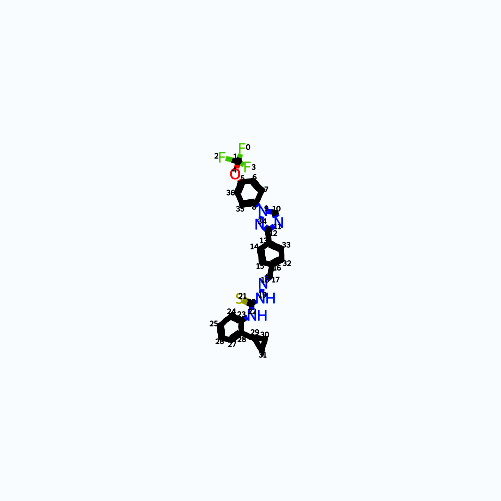 FC(F)(F)Oc1ccc(-n2cnc(-c3ccc(C=NNC(=S)Nc4ccccc4C4CC4)cc3)n2)cc1